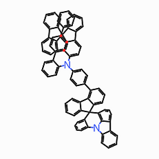 c1ccc(-c2ccc(-c3ccccc3N(c3ccc(-c4cccc5c4-c4ccccc4C54c5ccccc5-n5c6ccccc6c6cccc4c65)cc3)c3ccc4c(c3)C3(c5ccccc5-c5ccccc53)c3ccccc3-4)cc2)cc1